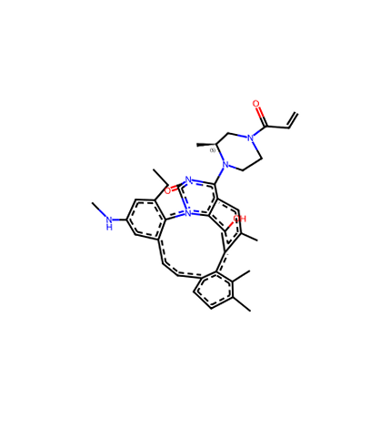 C=CC(=O)N1CCN(c2nc(=O)n3c4c(CC)cc(NC)cc4ccc4ccc(C)c(C)c4c4c(C)cc2c3c4O)[C@@H](C)C1